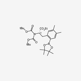 CCOC(=O)[C@H](Cc1cc(C)c(C)cc1B1OC(C)(C)C(C)(C)O1)N(C(=O)OC(C)(C)C)C(=O)OC(C)(C)C